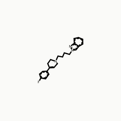 Fc1ccc(C2=CCN(CCCCn3cc4ccccc4n3)CC2)cc1